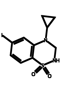 O=S1(=O)NCN(C2CC2)c2cc(I)ccc21